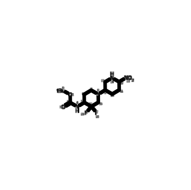 CC(C)(C)OC(=O)NC1CCN(C2CCC([N+](=O)[O-])NC2)CC1(F)F